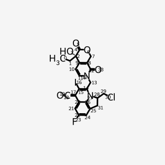 CC[C@@]1(O)C(=O)OCc2c1ccn(CC1=C(I)C(=C=O)c3cc(F)cc4c3N1C(CCl)C4)c2=O